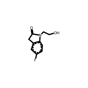 O=C1Cc2cc(F)ccc2N1CCO